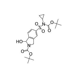 CC(C)(C)OC(=O)N1Cc2cc(S(=O)(=O)N(C(=O)OC(C)(C)C)C3CC3)ccc2C1O